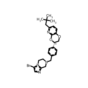 CC(C)(C)Cc1ccc2c(n1)O[C@@H](c1ccc(CN3CCn4c(Br)cnc4C3)cc1)CO2